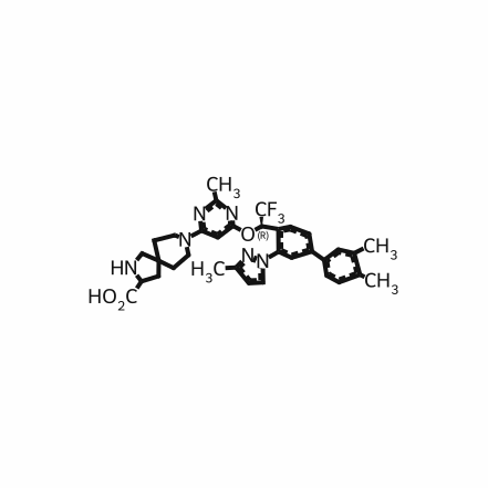 Cc1ccn(-c2cc(-c3ccc(C)c(C)c3)ccc2[C@@H](Oc2cc(N3CCC4(CC3)CNC(C(=O)O)C4)nc(C)n2)C(F)(F)F)n1